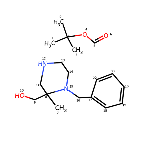 CC(C)(C)OC=O.CC1(CO)CNCCN1Cc1ccccc1